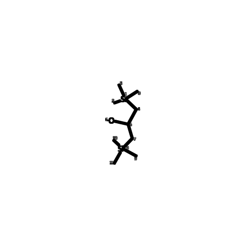 C[Si](C)(C)CC([O])C[Si](C)(C)C